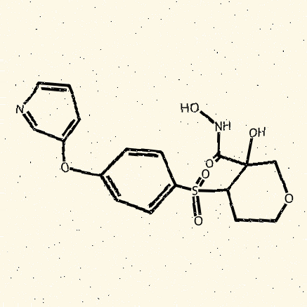 O=C(NO)C1(O)COCCC1S(=O)(=O)c1ccc(Oc2cccnc2)cc1